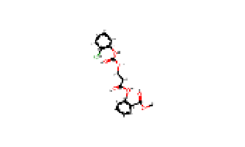 COC(=O)c1ccccc1OC(=O)CCOC(=O)Oc1ccccc1Cl